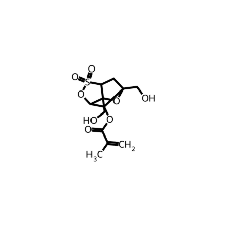 C=C(C)C(=O)OC1C2OS(=O)(=O)C3CC1(CO)OC23CO